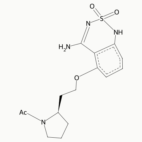 CC(=O)N1CCC[C@@H]1CCOc1cccc2c1C(N)=NS(=O)(=O)N2